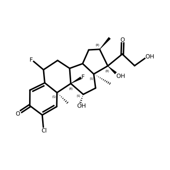 C[C@@H]1CC2C3CC(F)C4=CC(=O)C(Cl)=C[C@]4(C)[C@@]3(F)[C@@H](O)C[C@]2(C)[C@@]1(O)C(=O)CO